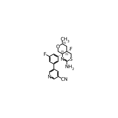 C[C@H]1C[C@@]2(F)CSC(N)=N[C@@]2(c2cc(F)cc(-c3cncc(C#N)c3)c2)CO1